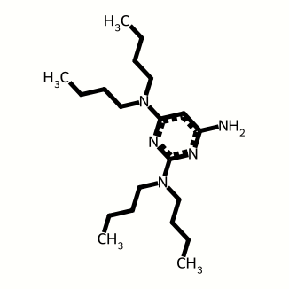 CCCCN(CCCC)c1cc(N)nc(N(CCCC)CCCC)n1